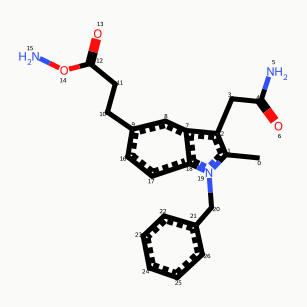 Cc1c(CC(N)=O)c2cc(CCC(=O)ON)ccc2n1Cc1ccccc1